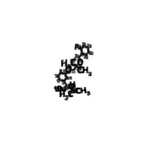 C[SiH](C)OC(c1cccc(OCC(C)(C)OCc2ccccc2F)c1)C(C)(C)C